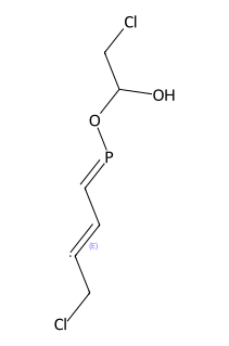 OC(CCl)OP=C/C=[C]/CCl